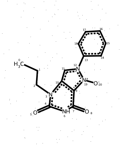 CCCn1c(=O)[nH]c(=O)c2c1cn(-c1ccccc1)[n+]2[O-]